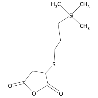 C[Si](C)(C)CCCSC1CC(=O)OC1=O